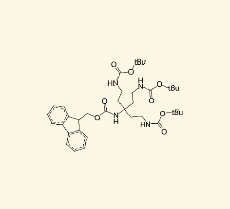 CC(C)(C)OC(=O)NCCC(CCNC(=O)OC(C)(C)C)(CCNC(=O)OC(C)(C)C)NC(=O)OCC1c2ccccc2-c2ccccc21